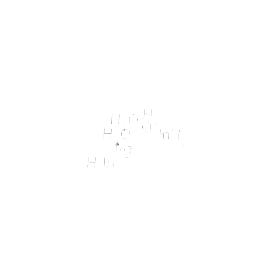 O.O.O.[Ag].[InH3].[InH3]